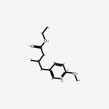 CCOC(=O)CC(C)Cc1ccc(OC)nc1